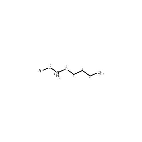 [3H]O[SiH2]OCCCC